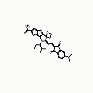 CCC(C(C)C)N1/C(=C/C=C2\C(=O)c3ccc(C(C)C)cc3C2=O)C2(CCO2)c2sc3cc(C(N)=O)sc3c21